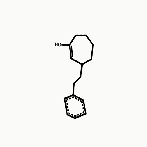 OC1=CC(CCc2ccccc2)CCCC1